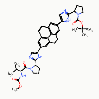 COC(=O)N[C@H](C(=O)N1CCC[C@H]1c1ncc(-c2cc3c4c(c2)CCc2cc(-c5cnc(C6CCCN6C(=O)OC(C)(C)C)[nH]5)cc(c2-4)CC3)[nH]1)C(C)C